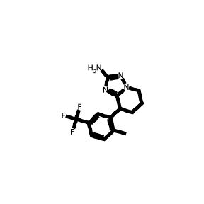 Cc1ccc(C(F)(F)F)cc1C1CCCn2nc(N)nc21